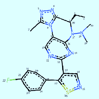 CC[C@@H]1c2nnc(C)n2-c2cnc(-c3cnsc3-c3ccc(F)cc3)nc2N1N(C)C